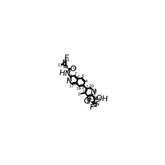 Cc1c(-c2ccc3cc(NC(=O)[C@@H]4C[C@@H]4F)ncc3c2)cnc([C@H](O)C(F)(F)F)c1Cl